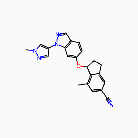 Cc1cc(C#N)cc2c1C(Oc1ccc3cnn(-c4cnn(C)c4)c3c1)CC2